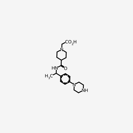 CC(NC(=O)C1CCN(CC(=O)O)CC1)c1ccc(N2CCNCC2)cc1